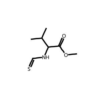 COC(=O)C(NC=S)C(C)C